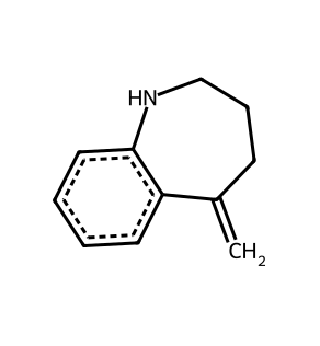 C=C1CCCNc2ccccc21